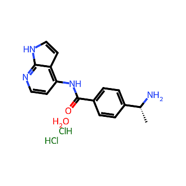 C[C@@H](N)c1ccc(C(=O)Nc2ccnc3[nH]ccc23)cc1.Cl.Cl.O